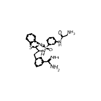 N=C(N)c1cccc(CC(NS(=O)(=O)c2cccc(NC(=O)CN)c2)c2nc3ccccc3s2)c1